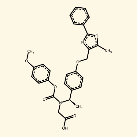 COc1ccc(OC(=O)N(CC(=O)O)[C@H](C)c2ccc(OCc3nc(-c4ccccc4)oc3C)cc2)cc1